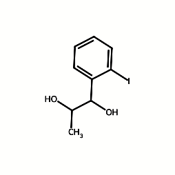 CC(O)C(O)c1ccccc1I